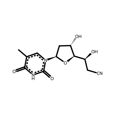 Cc1cn([C@H]2C[C@H](O)[C@@H]([C@@H](O)CC#N)O2)c(=O)[nH]c1=O